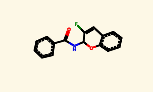 O=C(NC1Oc2ccccc2C=C1F)c1ccccc1